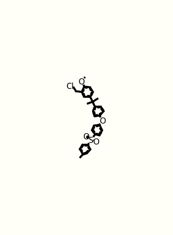 COc1ccc(C(C)(C)c2ccc(Oc3ccc(S(=O)(=O)c4ccc(C)cc4)cc3)cc2)cc1CCl